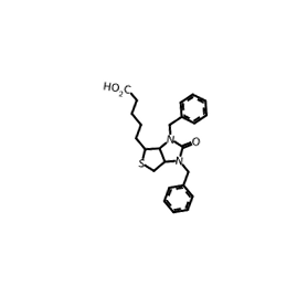 O=C(O)CCCCC1SCC2C1N(Cc1ccccc1)C(=O)N2Cc1ccccc1